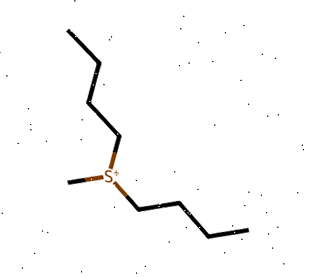 CCCC[S+](C)CCCC